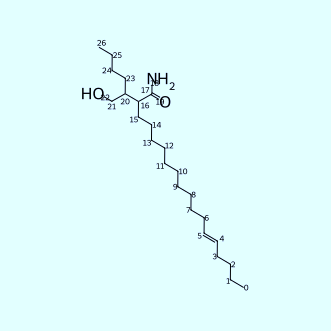 CCCCC=CCCCCCCCCCCC(C(N)=O)C(CO)CCCC